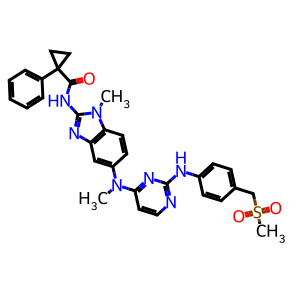 CN(c1ccc2c(c1)nc(NC(=O)C1(c3ccccc3)CC1)n2C)c1ccnc(Nc2ccc(CS(C)(=O)=O)cc2)n1